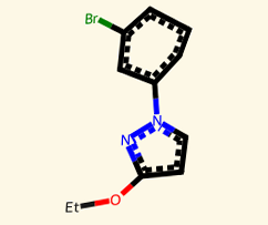 CCOc1ccn(-c2cccc(Br)c2)n1